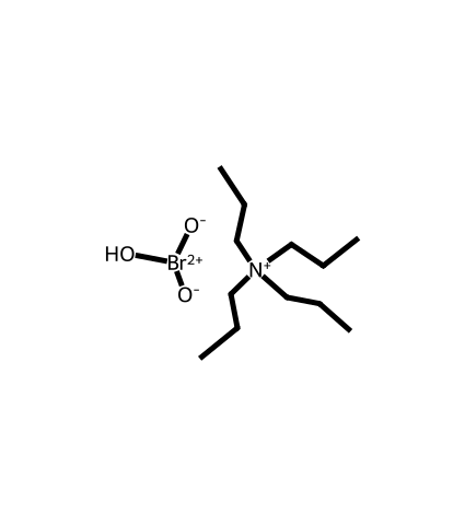 CCC[N+](CCC)(CCC)CCC.[O-][Br+2]([O-])O